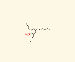 CCCCCCc1cc(CCCC)c(O)c(CCCC)c1